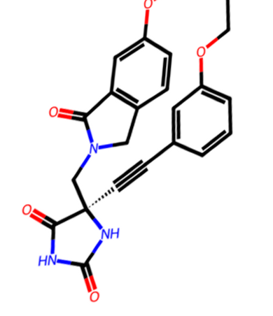 CCOc1cccc(C#C[C@]2(CN3Cc4ccc(OC)cc4C3=O)NC(=O)NC2=O)c1